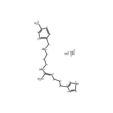 Cc1ccc(CNCCCNC(N)=NCCCc2c[nH]cn2)nc1.Cl.Cl.Cl